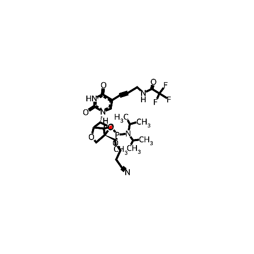 CC[C@]12COC([C@H](n3cc(C#CCNC(=O)C(F)(F)F)c(=O)[nH]c3=O)O1)[C@@H]2OP(OCCC#N)N(C(C)C)C(C)C